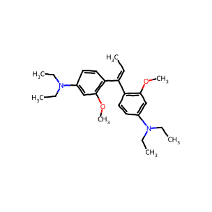 CC=C(c1ccc(N(CC)CC)cc1OC)c1ccc(N(CC)CC)cc1OC